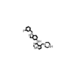 Fc1cccc(Cn2ncc3cc(Nc4ncnn5ccc(CN6CCCNCC6)c45)ccc32)c1